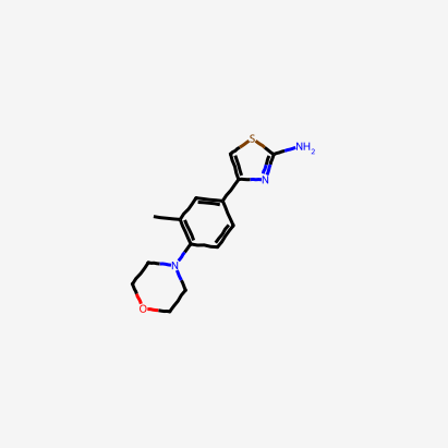 Cc1cc(-c2csc(N)n2)ccc1N1CCOCC1